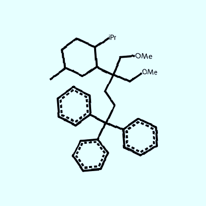 COCC(CCC(c1ccccc1)(c1ccccc1)c1ccccc1)(COC)C1CC(C)CCC1C(C)C